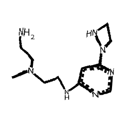 CN(CCN)CCNc1cc(N2CCN2)ncn1